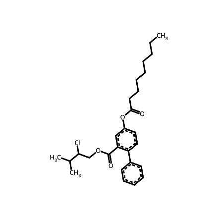 CCCCCCCCC(=O)Oc1ccc(-c2ccccc2)c(C(=O)OCC(Cl)C(C)C)c1